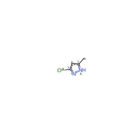 [CH2]c1cc(Cl)n[nH]1